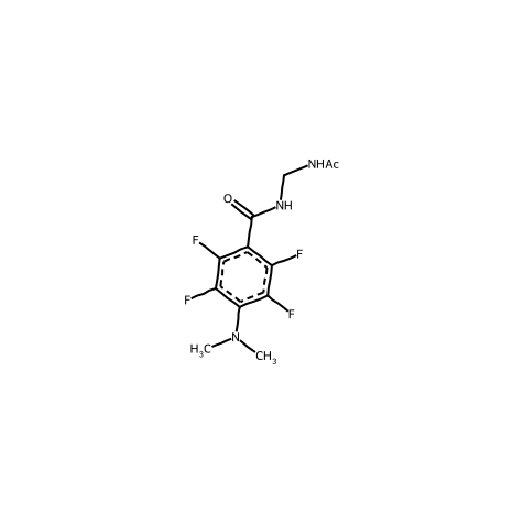 CC(=O)NCNC(=O)c1c(F)c(F)c(N(C)C)c(F)c1F